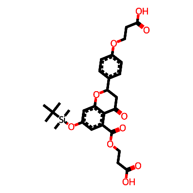 CC(C)(C)[Si](C)(C)Oc1cc2c(c(C(=O)OCCC(=O)O)c1)C(=O)CC(c1ccc(OCCC(=O)O)cc1)O2